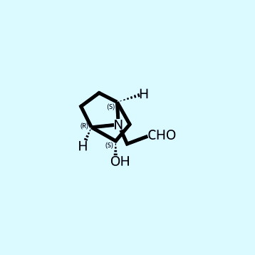 O=CCN1[C@H]2CC[C@@H]1[C@@H](O)C2